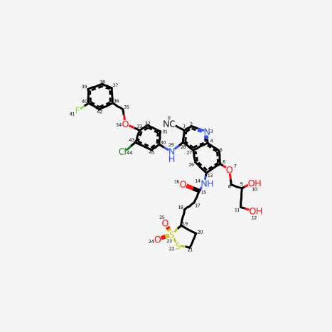 N#Cc1cnc2cc(OCC(O)CO)c(NC(=O)CCC3CCSS3(=O)=O)cc2c1Nc1ccc(OCc2cccc(F)c2)c(Cl)c1